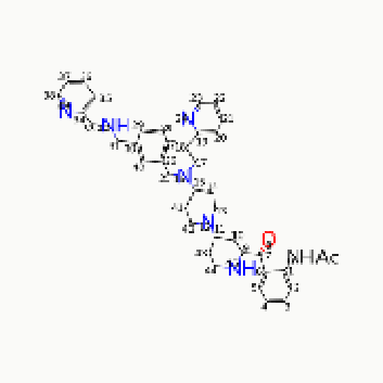 CC(=O)Nc1ccccc1C(=O)C1CC(N2CCC(N(CCc3ccccn3)Cc3cccc(CNCc4ccccn4)c3)CC2)CCN1